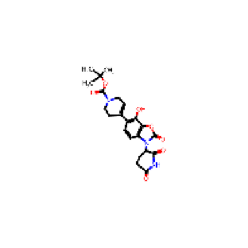 CC(C)(C)OC(=O)N1CC=C(c2ccc3c(oc(=O)n3C3CCC(=O)NC3=O)c2O)CC1